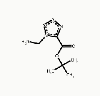 CC(C)(C)OC(=O)c1nnnn1CN